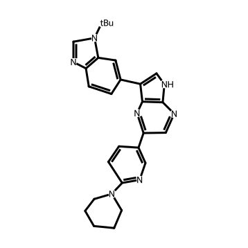 CC(C)(C)n1cnc2ccc(-c3c[nH]c4ncc(-c5ccc(N6CCCCC6)nc5)nc34)cc21